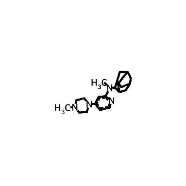 CN1CCN(c2ccnc(N(C)C3C4CC5CC(C4)CC3C5)c2)CC1